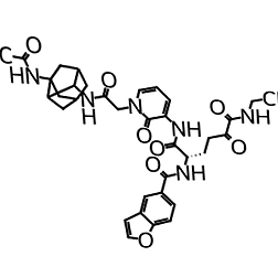 CCNC(=O)C(=O)CC[C@H](NC(=O)c1ccc2occc2c1)C(=O)Nc1cccn(CC(=O)NC2C3CC4CC2C(NC(C)=O)(C4)C3)c1=O